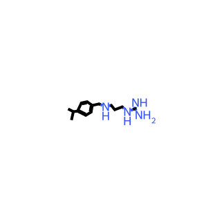 CC(C)c1ccc(CNCCCNC(=N)N)cc1